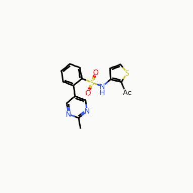 CC(=O)c1sccc1NS(=O)(=O)c1ccccc1-c1cnc(C)nc1